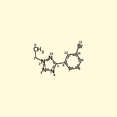 CCn1nnc(-c2cccc(Br)c2)n1